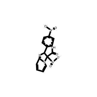 O=C(O)C1([N+](=O)[O-])C(c2ccc([N+](=O)[O-])cc2)N=C2C=CC=CN21